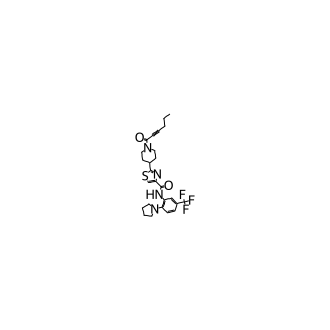 CCCC#CC(=O)N1CCC(c2nc(C(=O)Nc3cc(C(F)(F)F)ccc3N3CCCC3)cs2)CC1